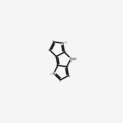 C1=CC2=C3N=CC=C3[AsH]C2=N1